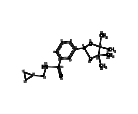 CC1(C)OB(c2cccc(C(=O)NCC3CC3)c2)OC1(C)C